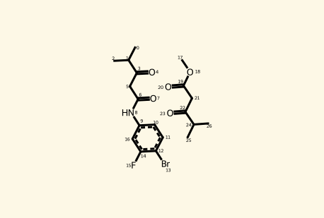 CC(C)C(=O)CC(=O)Nc1ccc(Br)c(F)c1.COC(=O)CC(=O)C(C)C